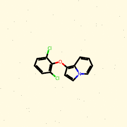 Clc1cccc(Cl)c1Oc1ccn2ccccc12